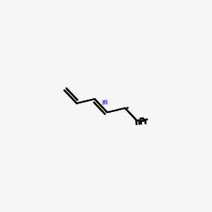 C=C/C=C/[CH]CCC